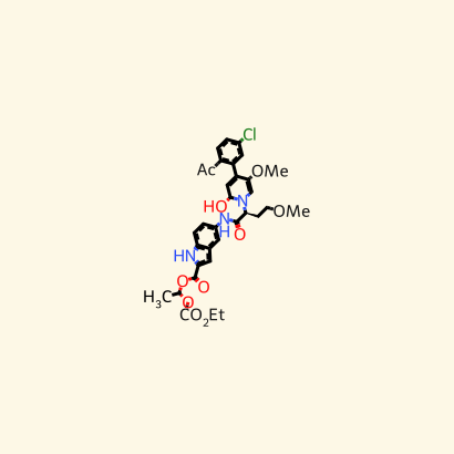 CCOC(=O)OC(C)OC(=O)c1cc2cc(NC(=O)[C@H](CCOC)N3C=C(OC)C(c4cc(Cl)ccc4C(C)=O)=CC3O)ccc2[nH]1